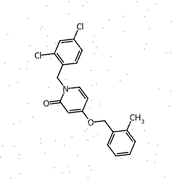 Cc1ccccc1COc1ccn(Cc2ccc(Cl)cc2Cl)c(=O)c1